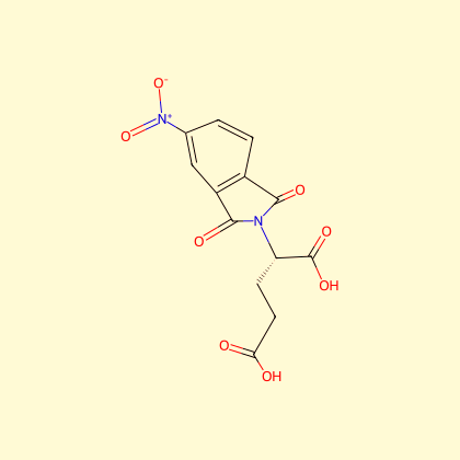 O=C(O)CC[C@@H](C(=O)O)N1C(=O)c2ccc([N+](=O)[O-])cc2C1=O